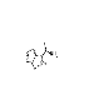 NC(=O)C1NCC2C=CC=C21